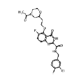 CC(=O)N1CCOC(CCOc2c(F)ccc3nc(C(=O)NCc4ccc(F)c(Cl)c4)[nH]c(=O)c23)C1